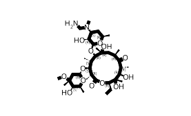 CC[C@H]1OC(=O)[C@H](C)[C@@H](O[C@H]2C[C@@](C)(OC)[C@@H](O)[C@H](C)O2)[C@H](C)[C@@H](O[C@@H]2O[C@H](C)C[C@H](N(C)CN)[C@H]2O)[C@](C)(O)C[C@@H](C)C(=O)[C@H](C)[C@@H](O)[C@]1(C)O